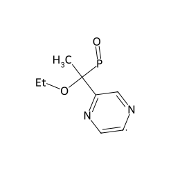 CCOC(C)(P=O)c1cn[c]cn1